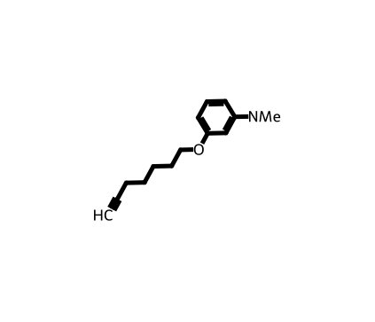 C#CCCCCCOc1cccc(NC)c1